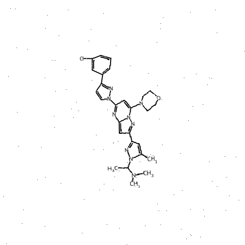 Cc1cc(-c2cc3nc(-n4ccc(-c5cccc(Cl)c5)n4)cc(N4CCOCC4)n3n2)nn1C(C)N(C)C